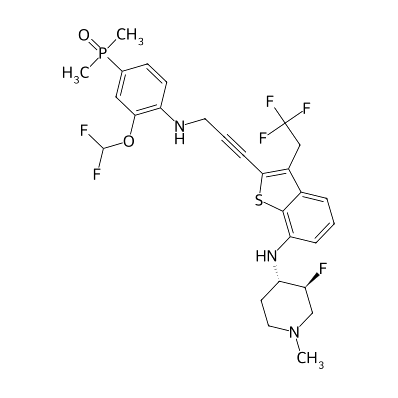 CN1CC[C@H](Nc2cccc3c(CC(F)(F)F)c(C#CCNc4ccc(P(C)(C)=O)cc4OC(F)F)sc23)[C@@H](F)C1